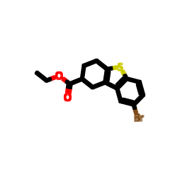 CCOC(=O)C1CCc2sc3ccc(Br)cc3c2C1